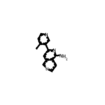 Cc1ccncc1-c1cc2cnccc2c(N)n1